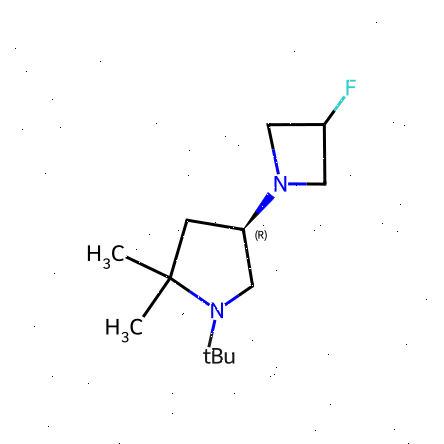 CC(C)(C)N1C[C@H](N2CC(F)C2)CC1(C)C